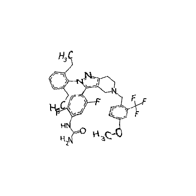 CCc1cccc(CC)c1-n1nc2c(c1-c1cc(F)c(NC(N)=O)cc1F)CN(Cc1ccc(OC)cc1C(F)(F)F)CC2